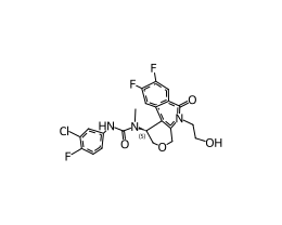 CN(C(=O)Nc1ccc(F)c(Cl)c1)[C@@H]1COCc2c1c1cc(F)c(F)cc1c(=O)n2CCO